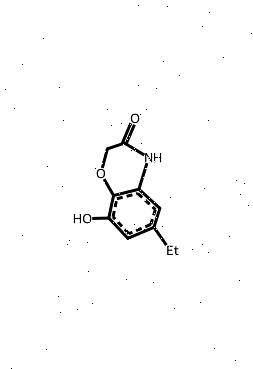 CCc1cc(O)c2c(c1)NC(=O)CO2